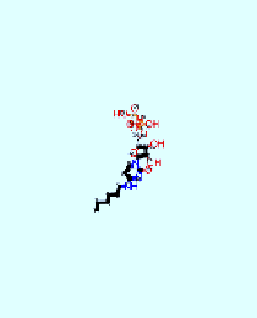 CCCCCCNc1ccn([C@@H]2O[C@H](COP(=O)(O)OP(=O)(O)O)[C@@H](O)[C@H]2O)c(=O)n1